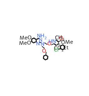 CCOC(=O)C1=C(COCCN(CCOCc2ccccc2)c2nc(N)c3cc(OC)c(OC)cc3n2)NC(C)=C(C(=O)OC)[C@@H]1c1ccccc1Cl